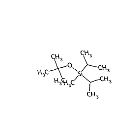 CC(C)[Si](C)(OC(C)(C)C)C(C)C